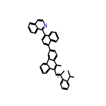 C/C(=C\c1c(C)c2ccc(-c3ccc(-c4nccc5ccccc45)c4ccccc34)cc2c2ccccc12)c1ccccc1C(C)C